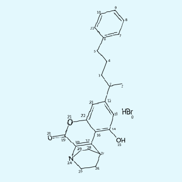 Br.CC(CCCc1ccccc1)c1cc(O)c2c3c(c(=O)oc2c1)N1CCC3CC1